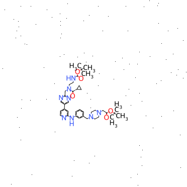 CC(C)(C)OC(=O)CN1CCN(Cc2cccc(Nc3cc(-c4cnc(CN(CCNC(=O)OC(C)(C)C)C(=O)C5CC5)nc4)ccn3)c2)CC1